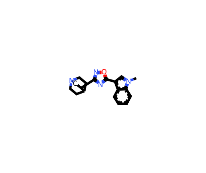 Cn1cc(-c2nc(C3CN4CCC3CC4)no2)c2ccccc21